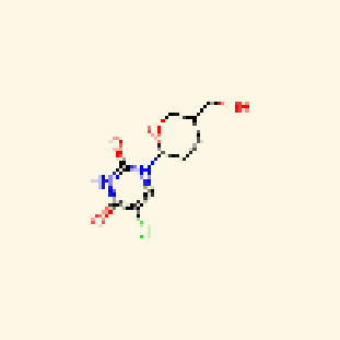 O=c1[nH]c(=O)n(C2CCC(CO)CO2)cc1Cl